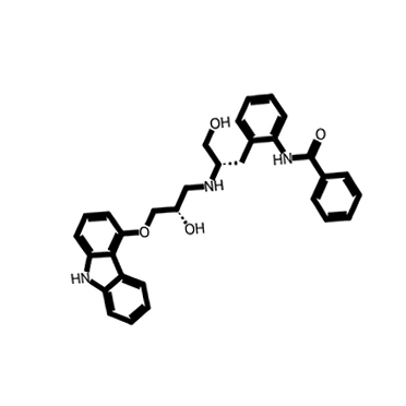 O=C(Nc1ccccc1C[C@@H](CO)NC[C@H](O)COc1cccc2[nH]c3ccccc3c12)c1ccccc1